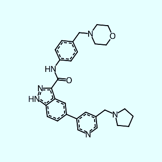 O=C(Nc1ccc(CN2CCOCC2)cc1)c1n[nH]c2ccc(-c3cncc(CN4CCCC4)c3)cc12